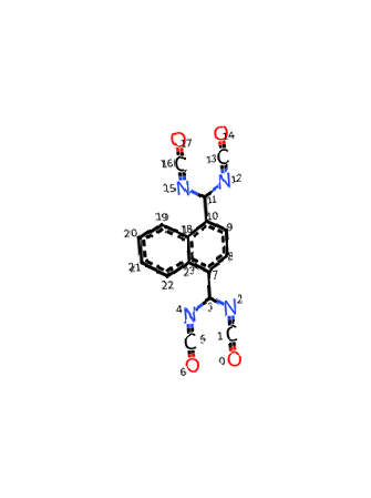 O=C=NC(N=C=O)c1ccc(C(N=C=O)N=C=O)c2ccccc12